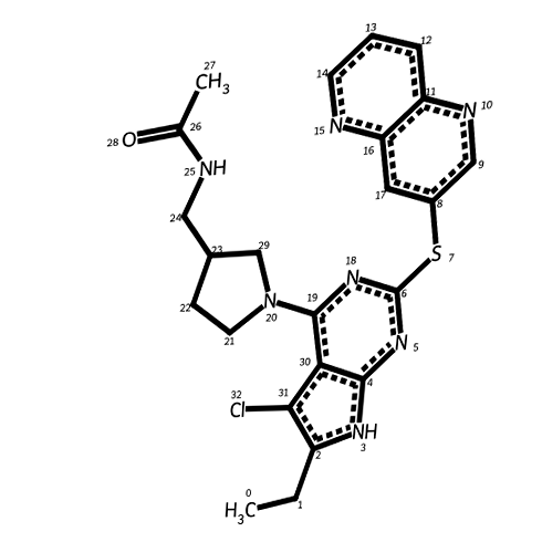 CCc1[nH]c2nc(Sc3cnc4cccnc4c3)nc(N3CCC(CNC(C)=O)C3)c2c1Cl